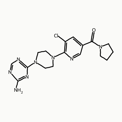 Nc1ncnc(N2CCN(c3ncc(C(=O)N4CCCC4)cc3Cl)CC2)n1